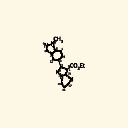 CCOC(=O)c1c(-c2ccc3c(cnn3C)c2)nn2cccnc12